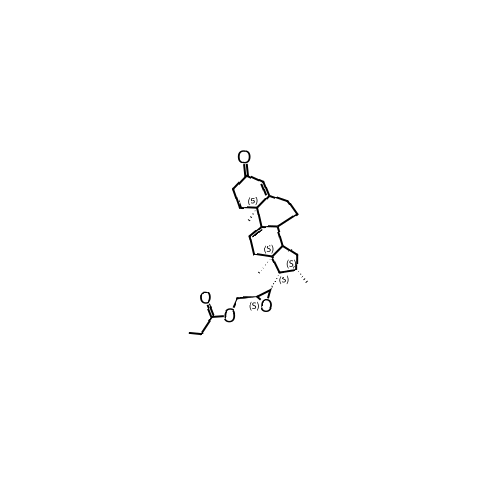 CCC(=O)OC[C@@H]1OC1[C@H]1[C@@H](C)CC2C3CCC4=CC(=O)CC[C@]4(C)C3=CC[C@@]21C